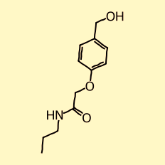 CCCNC(=O)COc1ccc(CO)cc1